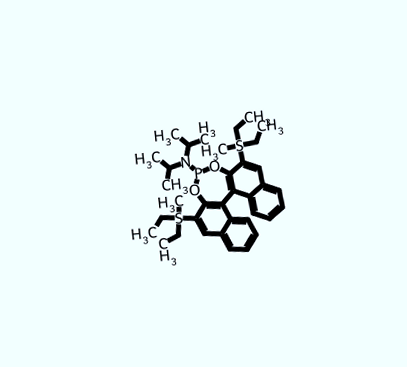 CCS(C)(CC)c1cc2ccccc2c2c1op(N(C(C)C)C(C)C)oc1c(S(C)(CC)CC)cc3ccccc3c12